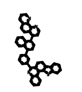 c1cc(-c2ccc(-c3ccnc4c3ccc3cccnc34)c3ccccc23)cc(-c2nc3ccccc3c3c2ccc2c4ccccc4sc23)c1